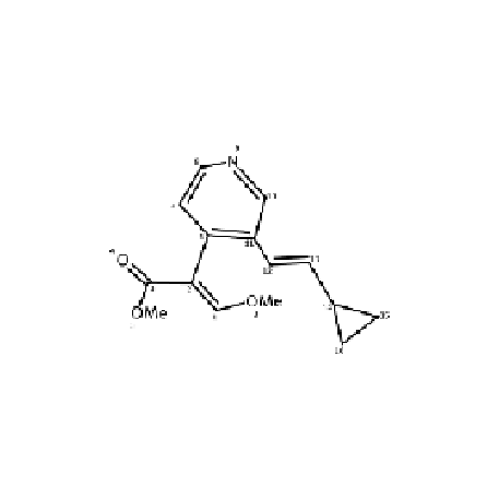 CO/C=C(/C(=O)OC)c1ccncc1/C=C/C1CC1